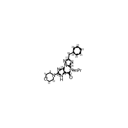 CCCn1c(=O)c2[nH]c(N3CCOCC3)nc2n2nc(Cc3ccccc3)nc12